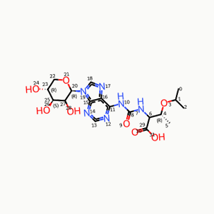 CC(C)O[C@H](C)C(NC(=O)Nc1ncnc2c1ncn2[C@@H]1OC[C@@H](O)[C@H](O)C1O)C(=O)O